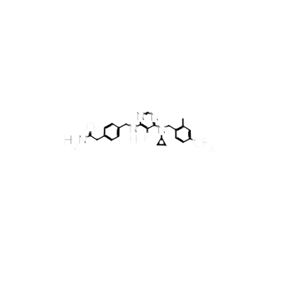 Cc1cc(C(F)(F)F)ccc1CN(c1ncnc(NCc2ccc(CC(N)=O)cc2)c1F)C1CC1